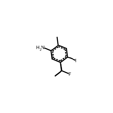 Cc1cc(I)c(C(C)F)cc1N